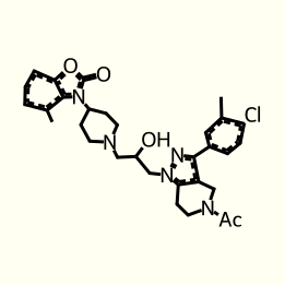 CC(=O)N1CCc2c(c(-c3ccc(Cl)c(C)c3)nn2CC(O)CN2CCC(n3c(=O)oc4cccc(C)c43)CC2)C1